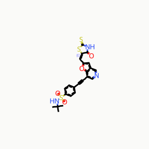 CC(C)(C)NS(=O)(=O)c1ccc(C#Cc2cncc3cc(/C=C4/SC(=S)NC4=O)oc23)cc1